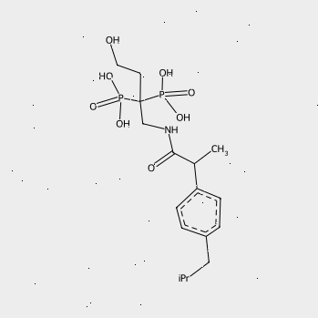 CC(C)Cc1ccc(C(C)C(=O)NCC(CCO)(P(=O)(O)O)P(=O)(O)O)cc1